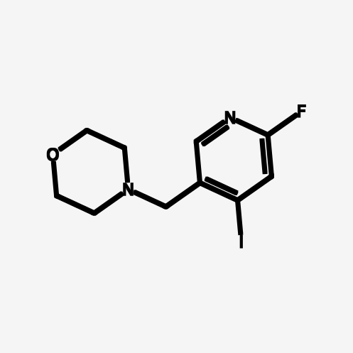 Fc1cc(I)c(CN2CCOCC2)cn1